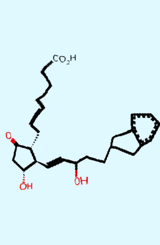 O=C(O)CCCC=CC[C@H]1C(=O)C[C@@H](O)[C@@H]1C=CC(O)CCC1Cc2ccccc2C1